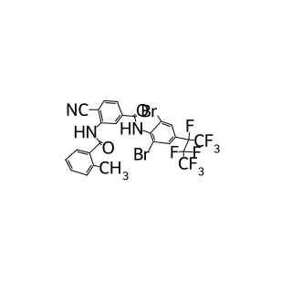 Cc1ccccc1C(=O)Nc1cc(C(=O)Nc2c(Br)cc(C(F)(C(F)(F)F)C(F)(F)C(F)(F)F)cc2Br)ccc1C#N